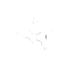 CCOc1nc2c(C)cc(Br)cc2n1CC1CC1